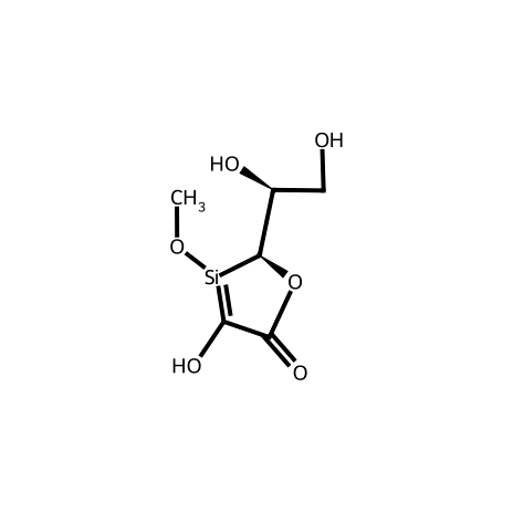 CO[Si]1=C(O)C(=O)O[C@@H]1[C@@H](O)CO